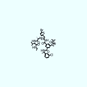 CCNC(=O)[C@@H](NC(=O)[C@H](C)NC[C@H](Cc1ccc(Br)s1)NC(=O)c1cc(C(=O)N[C@H](C)c2cccc(Cl)c2)cc(N(C)S(=O)(=O)N(C)C)c1)C(C)C